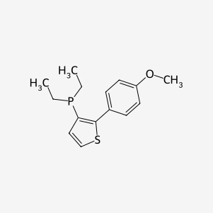 CCP(CC)c1ccsc1-c1ccc(OC)cc1